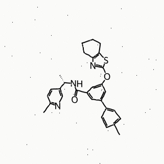 Cc1ccc(-c2cc(Oc3nc4c(s3)CCCC4)cc(C(=O)N[C@@H](C)c3ccc(C)nc3)c2)cc1